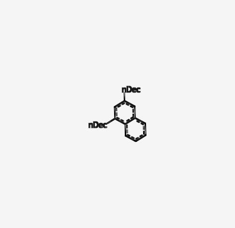 CCCCCCCCCCc1cc(CCCCCCCCCC)c2ccccc2c1